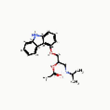 CC(=O)OC(CNC(C)C)COc1cccc2[nH]c3ccccc3c12